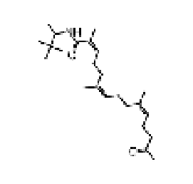 CC(=O)CCC=C(C)CCC=C(C)CCC=C(C)C(=O)NC(C)C(C)(C)C